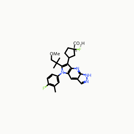 COCC(C)(C)c1c(C2CC[C@@](F)(C(=O)O)C2)c2nc3[nH]ncc3cc2n1-c1ccc(F)c(C)c1